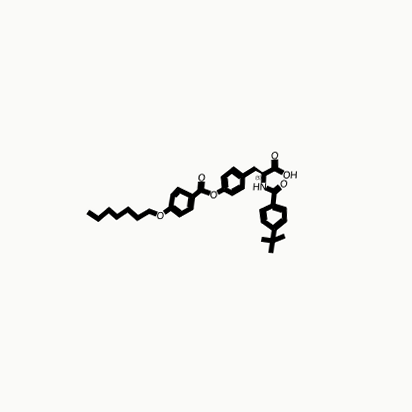 CCCCCCCOc1ccc(C(=O)Oc2ccc(C[C@H](NC(=O)c3ccc(C(C)(C)C)cc3)C(=O)O)cc2)cc1